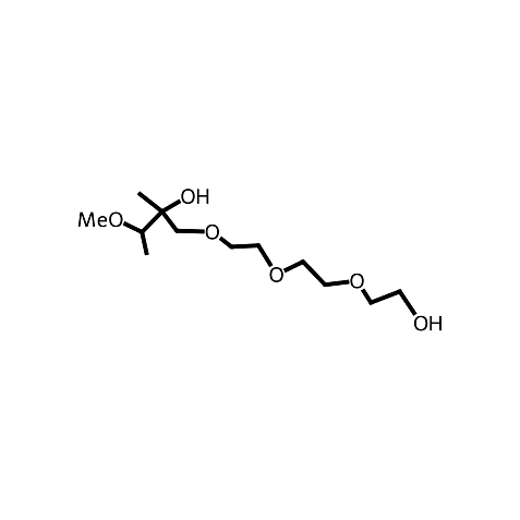 COC(C)C(C)(O)COCCOCCOCCO